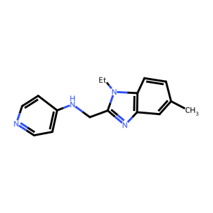 CCn1c(CNc2ccncc2)nc2cc(C)ccc21